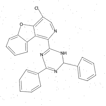 Clc1cnc(C2=NC(c3ccccc3)=NC(c3ccccc3)N2)c2c1oc1ccccc12